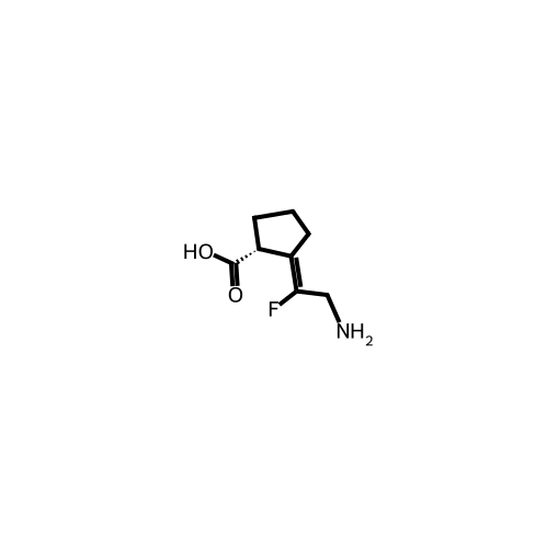 NC/C(F)=C1\CCC[C@H]1C(=O)O